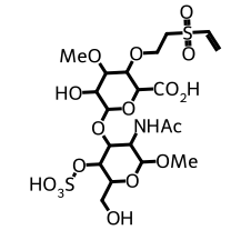 C=CS(=O)(=O)CCOC1C(C(=O)O)OC(OC2C(NC(C)=O)C(OC)OC(CO)C2OS(=O)(=O)O)C(O)C1OC